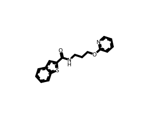 O=C(NCCCOc1ccccn1)c1cc2ccccc2s1